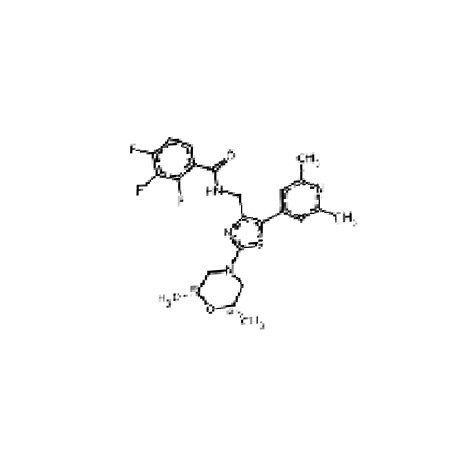 Cc1cc(-c2sc(N3C[C@@H](C)O[C@@H](C)C3)nc2CNC(=O)c2ccc(F)c(F)c2F)cc(C)n1